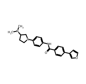 CN(C)C1CCN(c2ccc(NC(=O)c3ccc(-c4ccoc4)cc3)cc2)C1